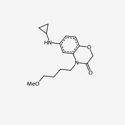 COCCCCN1C(=O)COc2ccc(NC3CC3)cc21